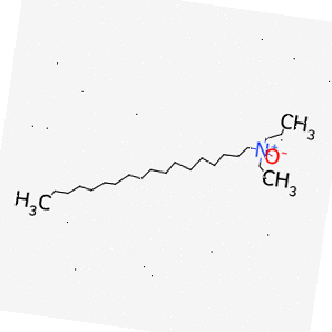 CCCCCCCCCCCCCCCCCC[N+]([O-])(CC)CCC